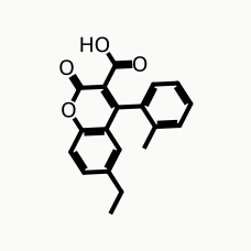 CCc1ccc2oc(=O)c(C(=O)O)c(-c3ccccc3C)c2c1